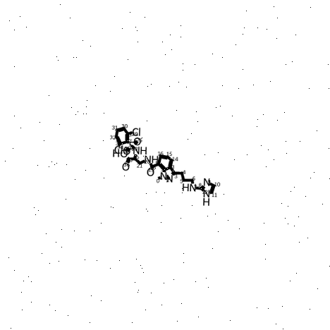 Cn1nc(CCCNc2ncc[nH]2)c2cccc(C(=O)NCC(NS(=O)(=O)c3c(Cl)cccc3Cl)C(=O)O)c21